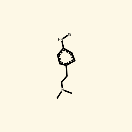 CCNc1ccc(CCN(C)C)cc1